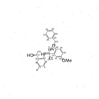 CCCC(CC)(Pc1ccc(C)cc1C(C)O)c1cc(OC)ccc1OCc1ccccc1